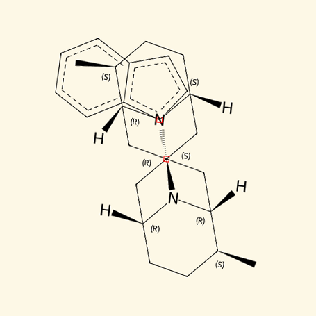 C[C@H]1CC[C@H]2C[C@@H]1C[C@H](N1[C@@H]3CC[C@H](C)[C@H]1C[C@@H](n1ccc4ccccc41)C3)C2